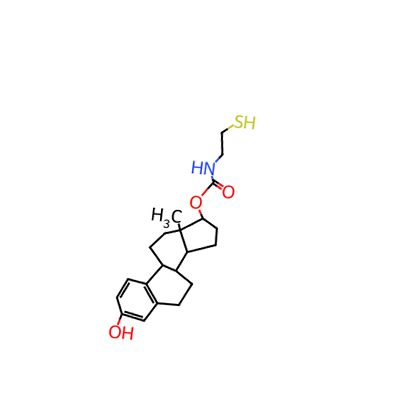 CC12CCC3c4ccc(O)cc4CCC3C1CCC2OC(=O)NCCS